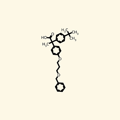 CC(C)(C)c1ccc(C(C)(C(=O)O)c2ccc(OCCCOCc3ccccc3)cc2)cc1